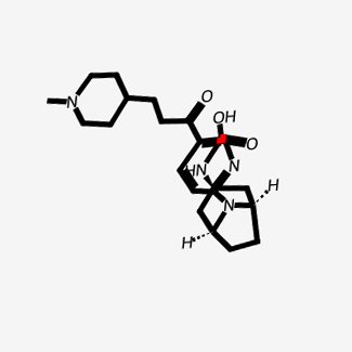 CN1CCC(CCC(=O)c2ccc(N3[C@@H]4CC[C@H]3C[C@@H](NC(=O)O)C4)nc2)CC1